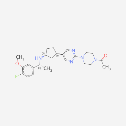 COc1cc([C@@H](C)N[C@H]2CC[C@@H](c3cnc(N4CCN(C(C)=O)CC4)nc3)C2)ccc1F